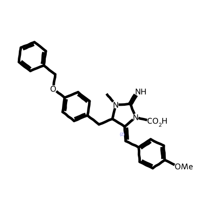 COc1ccc(/C=C2/C(Cc3ccc(OCc4ccccc4)cc3)N(C)C(=N)N2C(=O)O)cc1